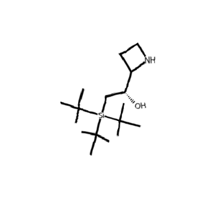 CC(C)(C)[Si](C[C@@H](O)C1CCN1)(C(C)(C)C)C(C)(C)C